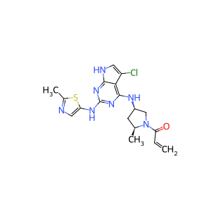 C=CC(=O)N1C[C@H](Nc2nc(Nc3cnc(C)s3)nc3[nH]cc(Cl)c23)C[C@@H]1C